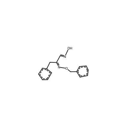 ON=CC(Cc1ccccc1)=NOCc1ccccc1